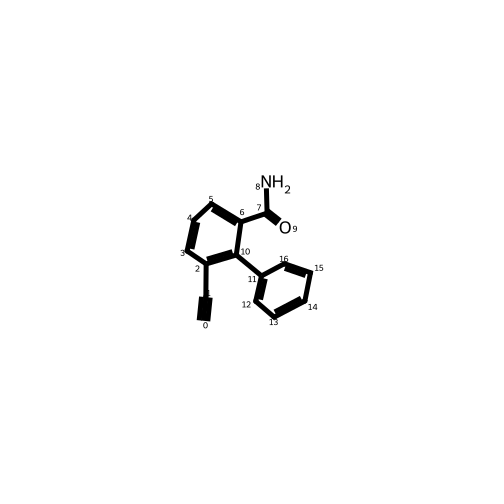 C#Cc1cccc(C(N)=O)c1-c1ccccc1